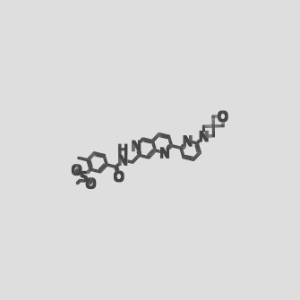 Cc1ccc(C(=O)NCc2cc3nc(-c4cccc(N5CC6(COC6)C5)n4)ccc3cn2)cc1S(C)(=O)=O